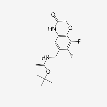 C=C(NCc1cc2c(c(F)c1F)OCC(=O)N2)OC(C)(C)C